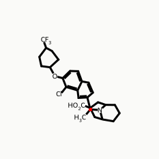 CC(c1ccc2ccc(OC3CCC(C(F)(F)F)CC3)c(Cl)c2c1)N1C2CCCC1CC(C(=O)O)C2